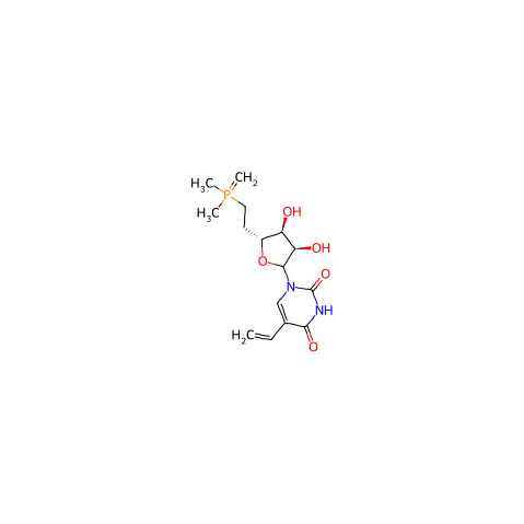 C=Cc1cn(C2O[C@H](CCP(=C)(C)C)[C@@H](O)[C@H]2O)c(=O)[nH]c1=O